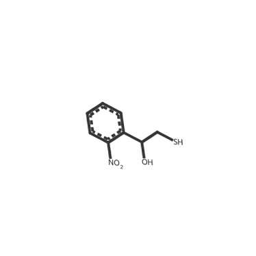 O=[N+]([O-])c1ccccc1C(O)CS